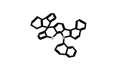 C1=CC2=C(CC1)C1(c3ccccc3Sc3c1ccc1c4c5ccccc5ccc4n(-c4cccc5ccccc45)c31)c1ccccc12